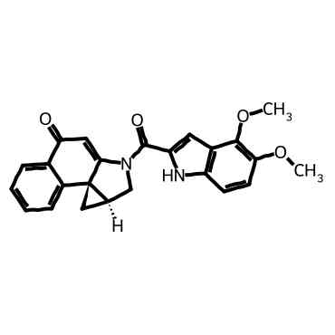 COc1ccc2[nH]c(C(=O)N3C[C@H]4C[C@@]45C3=CC(=O)c3ccccc35)cc2c1OC